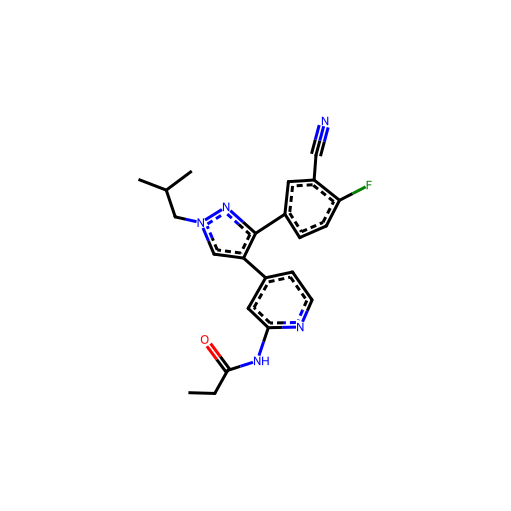 CCC(=O)Nc1cc(-c2cn(CC(C)C)nc2-c2ccc(F)c(C#N)c2)ccn1